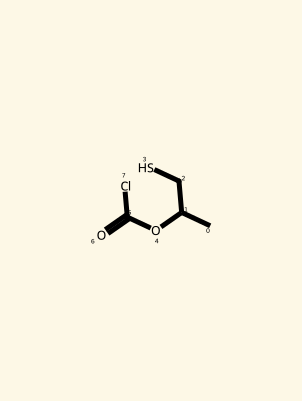 CC(CS)OC(=O)Cl